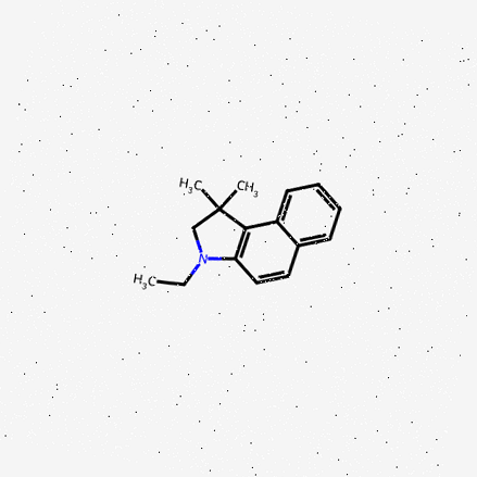 CCN1CC(C)(C)c2c1ccc1ccccc21